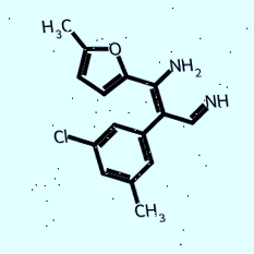 Cc1cc(Cl)cc(/C(C=N)=C(/N)c2ccc(C)o2)c1